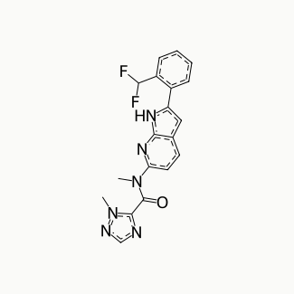 CN(C(=O)c1ncnn1C)c1ccc2cc(-c3ccccc3C(F)F)[nH]c2n1